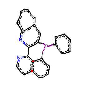 c1ccc(P(c2ccccc2)c2cc3ccccc3nc2-c2ccccn2)cc1